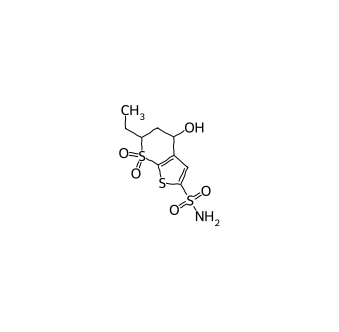 CCC1CC(O)c2cc(S(N)(=O)=O)sc2S1(=O)=O